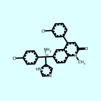 Cn1c(=O)cc(-c2cccc(Cl)c2)c2cc([C@](N)(c3ccc(Cl)cc3)c3cnc[nH]3)ccc21